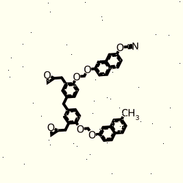 Cc1ccc2ccc(OCOc3ccc(Cc4ccc(OCOc5ccc6ccc(OC#N)cc6c5)c(CC5CO5)c4)cc3CC3CO3)cc2c1